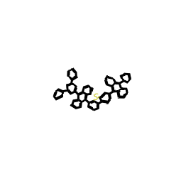 c1ccc(-c2cc(-c3ccccc3)cc(-c3c4ccccc4c(-c4cccc5c4sc4cc(-c6c7ccccc7c(-c7ccccc7)c7ccccc67)ccc45)c4ccccc34)c2)cc1